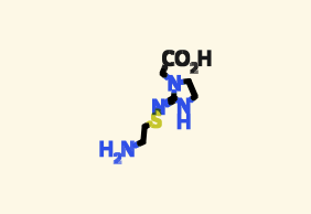 NCCS/N=C1\NCCN1CC(=O)O